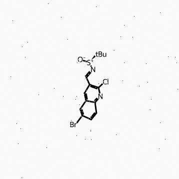 CC(C)(C)[S@+]([O-])N=Cc1cc2cc(Br)ccc2nc1Cl